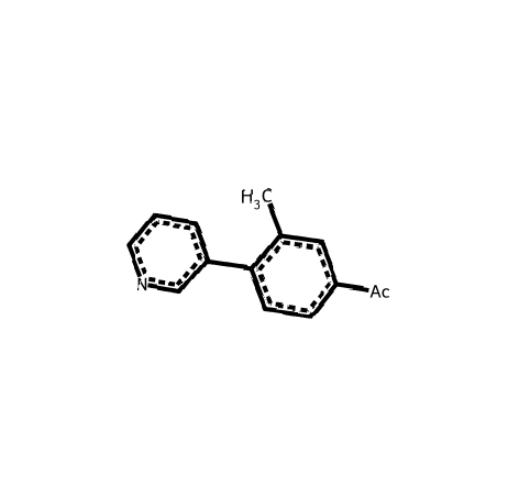 CC(=O)c1ccc(-c2cccnc2)c(C)c1